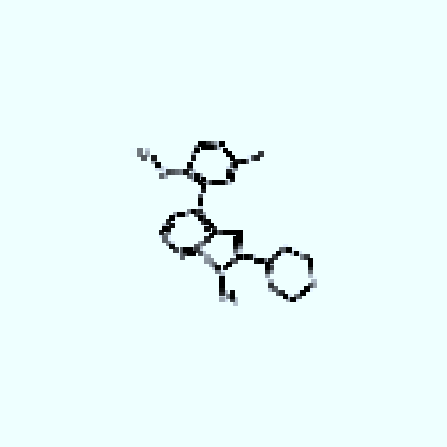 COc1ccc(F)cc1-c1ccnc2c1cc(C1=CCCCC1)n2C